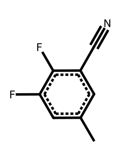 Cc1cc(F)c(F)c(C#N)c1